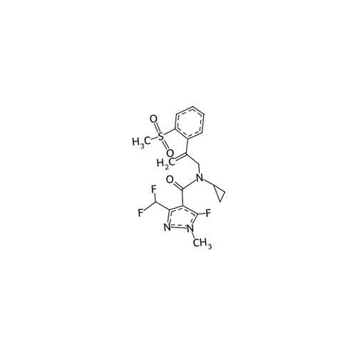 C=C(CN(C(=O)c1c(C(F)F)nn(C)c1F)C1CC1)c1ccccc1S(C)(=O)=O